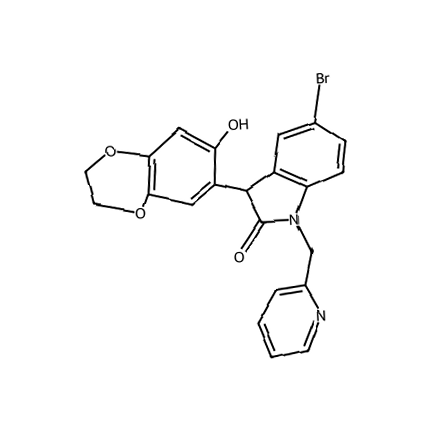 O=C1C(c2cc3c(cc2O)OCCO3)c2cc(Br)ccc2N1Cc1ccccn1